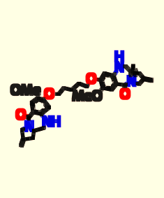 C=C1CC2CNc3cc(OCCCCCOc4cc5c(cc4OC)C(=O)N4CC(=C)C[C@@]4(C)CN5)c(OC)cc3C(=O)N2C1